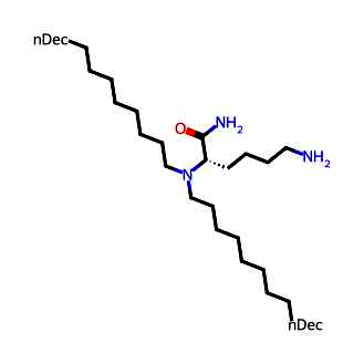 CCCCCCCCCCCCCCCCCCN(CCCCCCCCCCCCCCCCCC)[C@@H](CCCCN)C(N)=O